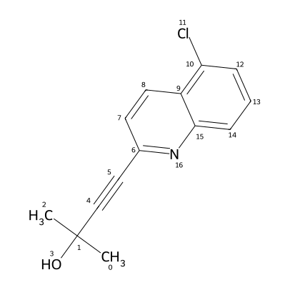 CC(C)(O)C#Cc1ccc2c(Cl)cccc2n1